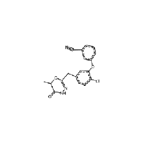 CC1OC(Cc2ccc(Cl)c(Oc3cccc(C#N)c3)c2)=NNC1=O